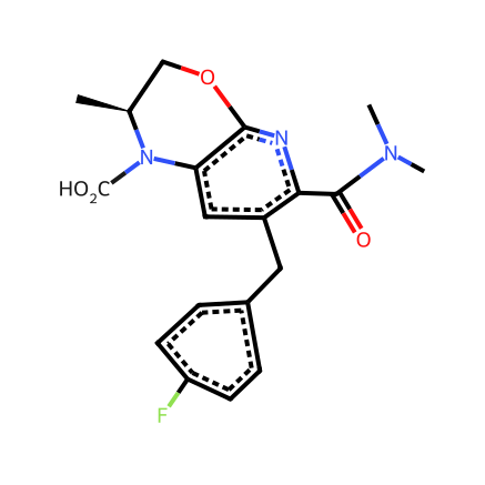 C[C@H]1COc2nc(C(=O)N(C)C)c(Cc3ccc(F)cc3)cc2N1C(=O)O